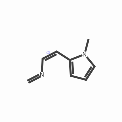 C=N/C=C\c1cccn1C